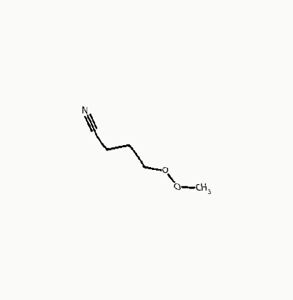 COOCCCC#N